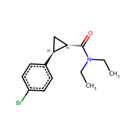 CCN(CC)C(=O)[C@H]1C[C@@H]1c1ccc(Br)cc1